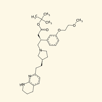 COCCOc1cccc([C@H](CC(=O)OC(C)(C)C)CN2CC[C@@H](CCc3ccc4c(n3)NCCC4)C2)c1